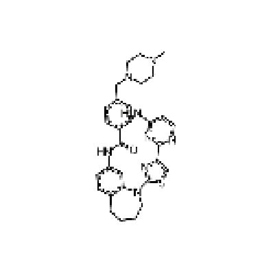 CN1CCN(Cc2ccc(C(=O)Nc3ccc4c(c3)N(c3nc(-c5nccc(N)n5)cs3)CCCC4)cc2)CC1